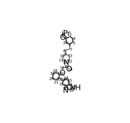 CC(C)Oc1cccc(CCC2CCN(C(=O)COc3ccccc3-c3ccc4[nH]cnc4c3)CC2)c1